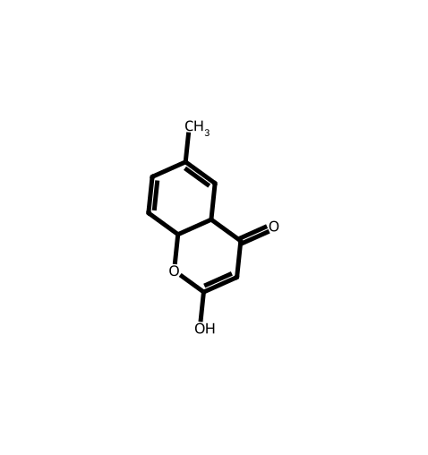 CC1=CC2C(=O)C=C(O)OC2C=C1